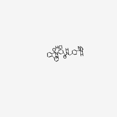 Cl.O=C(NCc1ccc(-c2ncc[nH]2)cc1)c1cccc(NC(=O)c2ccccc2-c2ccccc2)c1